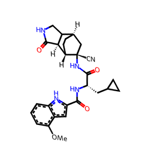 COc1cccc2[nH]c(C(=O)N[C@@H](CC3CC3)C(=O)N[C@@]3(C#N)C[C@H]4CC[C@H]3[C@H]3C(=O)NCC43)cc12